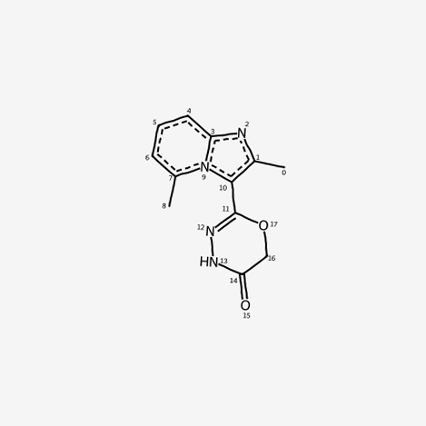 Cc1nc2cccc(C)n2c1C1=NNC(=O)CO1